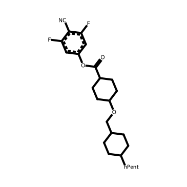 CCCCCC1CCC(COC2CCC(C(=O)Oc3cc(F)c(C#N)c(F)c3)CC2)CC1